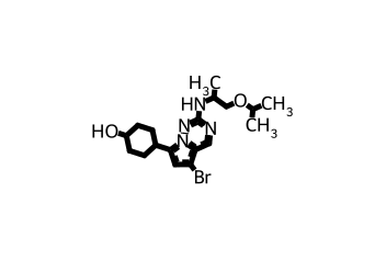 CC(COC(C)C)Nc1ncc2c(Br)cc(C3CCC(O)CC3)n2n1